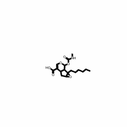 CCCCCCC12OC1CC1C(C(=O)O)=COC(OC(=O)NC)C12